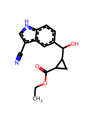 CCOC(=O)C1CC1C(O)c1ccc2[nH]cc(C#N)c2c1